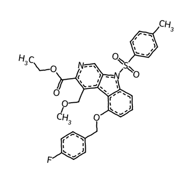 CCOC(=O)c1ncc2c(c1COC)c1c(OCc3ccc(F)cc3)cccc1n2S(=O)(=O)c1ccc(C)cc1